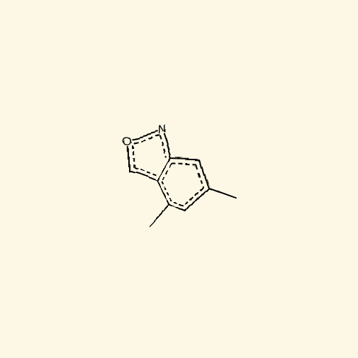 Cc1cc(C)c2conc2c1